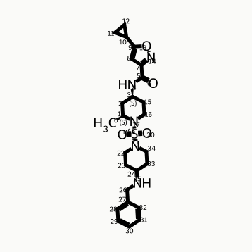 C[C@H]1C[C@@H](NC(=O)c2cc(C3CC3)on2)CCN1S(=O)(=O)N1CCC(NCc2ccccc2)CC1